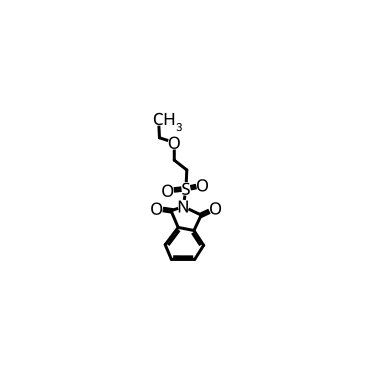 CCOCCS(=O)(=O)N1C(=O)c2ccccc2C1=O